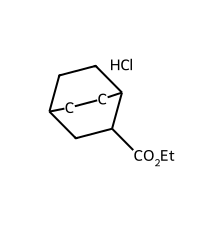 CCOC(=O)C1CC2CCC1CC2.Cl